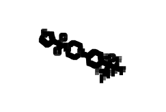 O=S(=O)(c1ccsc1)N1CCN(c2ccc(C(O)(C(F)(F)F)C(F)(F)F)cc2)CC1